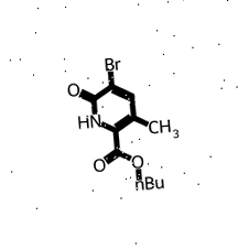 CCCCOC(=O)c1[nH]c(=O)c(Br)cc1C